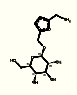 NCc1ccc(CO[C@@H]2O[C@H](CO)[C@@H](O)[C@H](O)[C@H]2O)o1